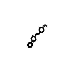 CCCC1CCC(CCN2CCN(c3ccccc3)CC2)CC1